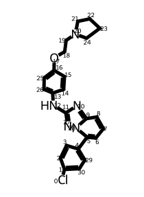 Clc1ccc(-c2cccc3nc(Nc4ccc(OCCN5CCCC5)cc4)nn23)cc1